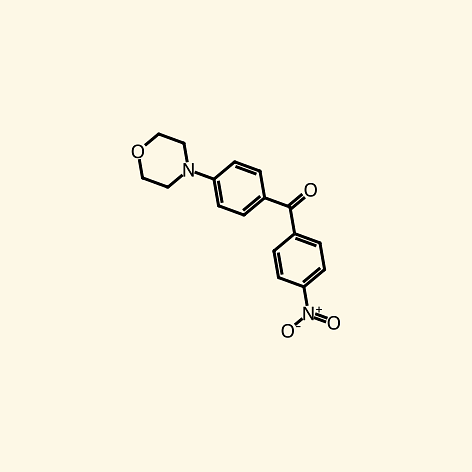 O=C(c1ccc(N2CCOCC2)cc1)c1ccc([N+](=O)[O-])cc1